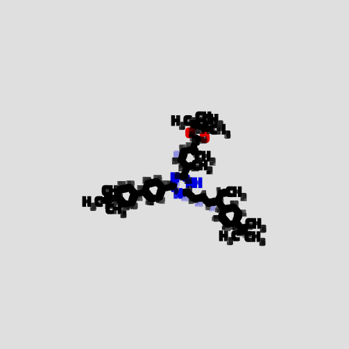 C=C\C(=C/C=C/C=N/C(=N\C(=N)C(=C)/C=C\C(=C)B1OC(C)(C)C(C)(C)O1)c1ccc(-c2ccc(C(C)(C)C)cc2)cc1)c1ccc(C(C)(C)C)cc1